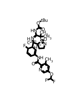 Cc1cc(OC(F)F)cnc1C(=O)NC1=CC([C@@]2(C)N=C(NC(=O)OC(C)(C)C)C(C)(C)[S@@]3(=O)=NCC[C@@H]23)C(F)C=C1